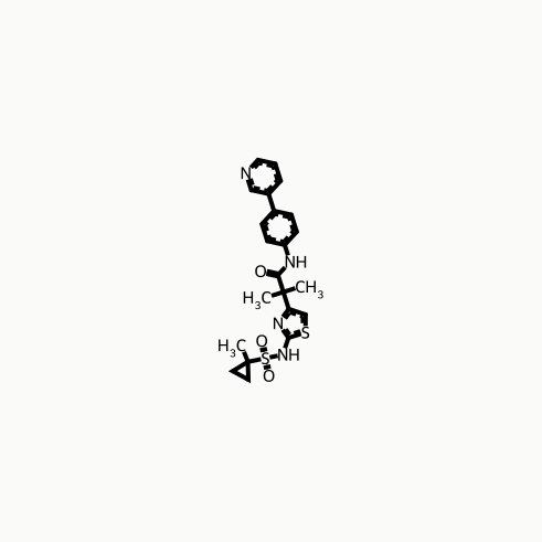 CC(C)(C(=O)Nc1ccc(-c2cccnc2)cc1)c1csc(NS(=O)(=O)C2(C)CC2)n1